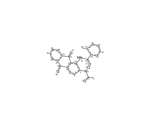 CC(=O)N(Cl)c1ccc2c(c1NC(=O)c1ccccc1C)C(=O)c1ccccc1C2=O